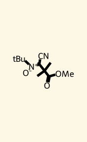 COC(=O)C(C)(C)C(C#N)=[N+]([O-])C(C)(C)C